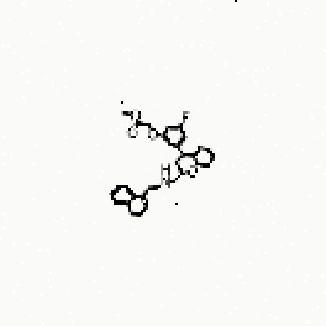 COC(=O)COc1cc(F)cc([C@@H]2C[C@H](CNCCc3cccc4ccccc34)Oc3ccccc32)c1